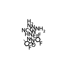 CCC(Nc1nc(N)nc(N)c1C#N)c1nc2c(C)ccc(F)c2c(=O)n1-c1cc(F)cc(F)c1